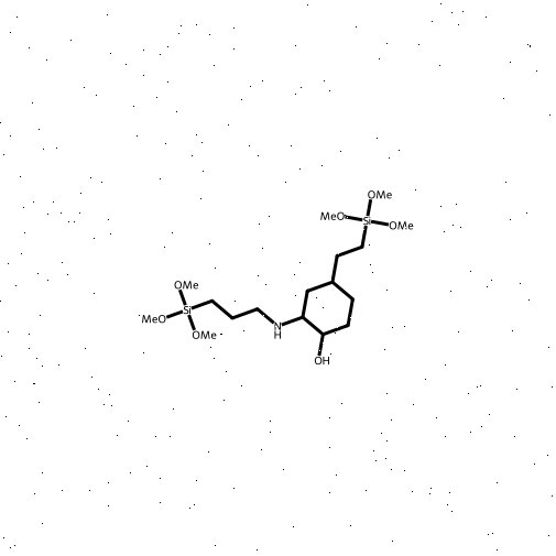 CO[Si](CCCNC1CC(CC[Si](OC)(OC)OC)CCC1O)(OC)OC